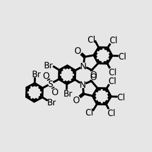 O=C1c2c(Cl)c(Cl)c(Cl)c(Cl)c2C(=O)N1c1cc(Br)c(S(=O)(=O)c2c(Br)cccc2Br)c(Br)c1N1C(=O)c2c(Cl)c(Cl)c(Cl)c(Cl)c2C1=O